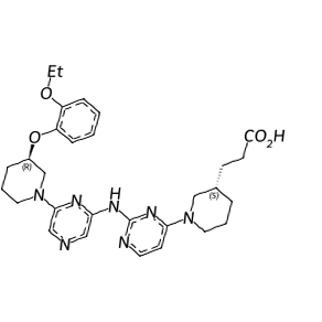 CCOc1ccccc1O[C@@H]1CCCN(c2cncc(Nc3nccc(N4CCC[C@@H](CCC(=O)O)C4)n3)n2)C1